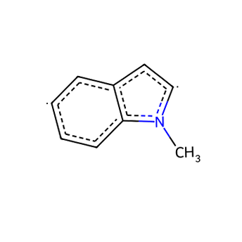 Cn1[c]cc2c[c]ccc21